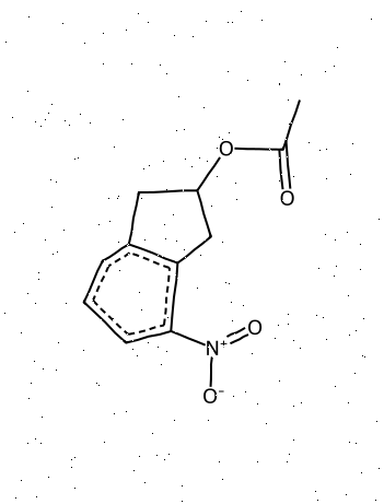 CC(=O)OC1Cc2cccc([N+](=O)[O-])c2C1